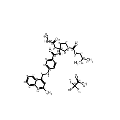 Cc1cc(COc2ccc(C(=O)NC3(CC(=O)NO)CCN(C(=O)OCC(C)C)C3)cc2)c2ccccc2n1.O=C(O)C(F)(F)F